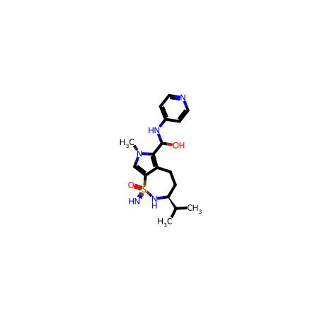 CC(C)[C@@H]1CCc2c(cn(C)c2C(O)Nc2ccncc2)S(=N)(=O)N1